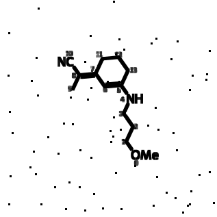 COCCCNC1=CC(=C(C)C#N)CCC1